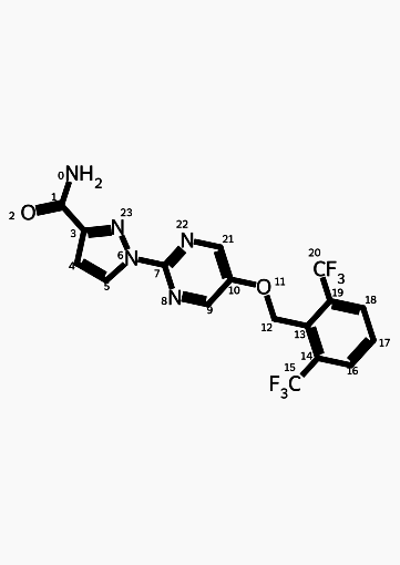 NC(=O)c1ccn(-c2ncc(OCc3c(C(F)(F)F)cccc3C(F)(F)F)cn2)n1